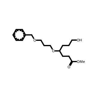 COC(=O)CCC(CCCO)OCCCOCc1ccccc1